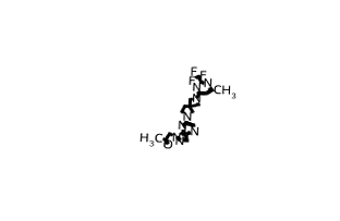 CC(=O)Cn1ncc2ncc(N3CCC4(CN(c5cc(C)nc(C(F)(F)F)n5)C4)C3)nc21